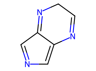 C1=NC=C2N=CCN=C12